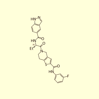 CC[C@@H](NC(=O)c1ccc2[nH]ncc2c1)C(=O)N1CCc2sc(C(=O)Nc3cccc(F)c3)cc2C1